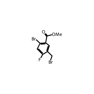 COC(=O)c1cc(CBr)c(F)cc1Br